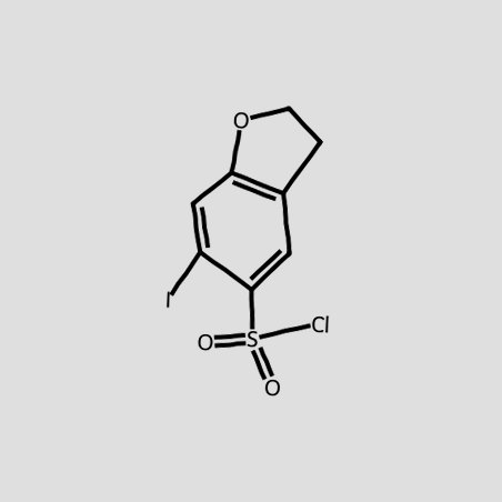 O=S(=O)(Cl)c1cc2c(cc1I)OCC2